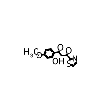 COc1ccc(C(=O)CC(=O)c2nccs2)c(O)c1